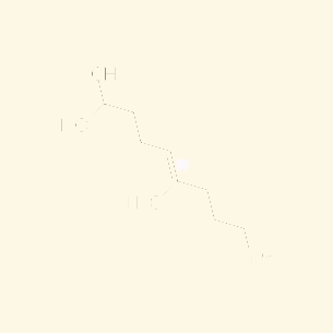 C/C(=C\CCC(C)O)CCCC(C)C